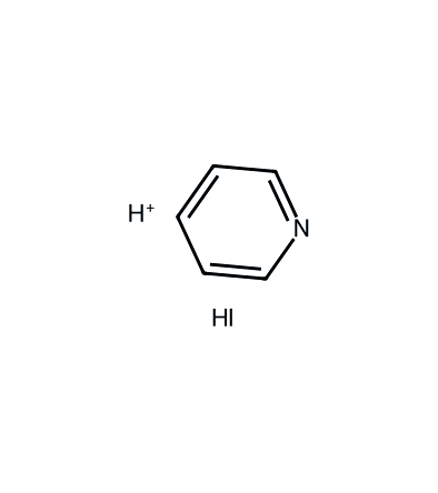 I.[H+].c1ccncc1